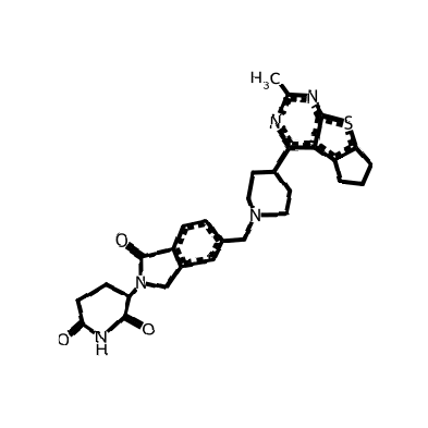 Cc1nc(C2CCN(Cc3ccc4c(c3)CN(C3CCC(=O)NC3=O)C4=O)CC2)c2c3c(sc2n1)CCC3